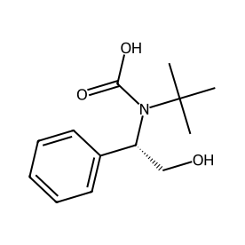 CC(C)(C)N(C(=O)O)[C@H](CO)c1ccccc1